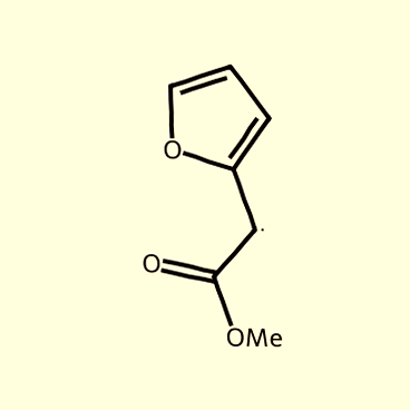 COC(=O)[CH]c1ccco1